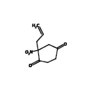 C=CCC1([N+](=O)[O-])CC(=O)CCC1=O